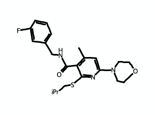 Cc1cc(N2CCOCC2)nc(SCC(C)C)c1C(=O)NCc1cccc(F)c1